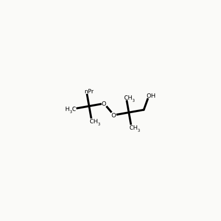 CCCC(C)(C)OOC(C)(C)CO